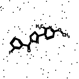 COc1ccc(C2=NN(C(=O)c3cccc(F)c3)CC2)c(C)n1